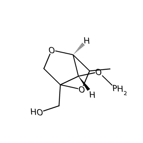 CC1OC2(CO)CO[C@@H]1[C@@H]2OP